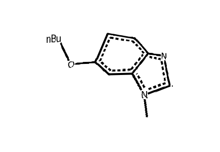 CCCCOc1ccc2n[c]n(C)c2c1